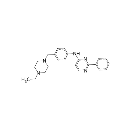 CCN1CCN(Cc2ccc(Nc3ccnc(-c4ccccc4)n3)cc2)CC1